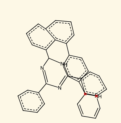 C1=CNC(c2ccc(-c3cccc4cccc(C5N=C(c6ccccc6)N=C(c6ccccc6)N5)c34)cc2)C=C1